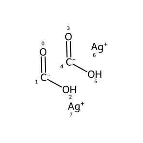 O=[C-]O.O=[C-]O.[Ag+].[Ag+]